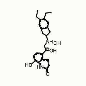 CCc1cc2c(cc1CC)CC(NC[C@@H](O)c1ccc(O)c3[nH]c(=O)ccc13)C2.Cl